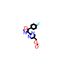 O=COCc1cnc(-c2ncoc2-c2ccc(F)cc2)nc1